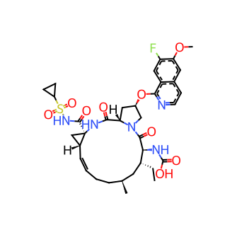 CC[C@@H]1C[C@@H](C)CC/C=C\[C@@H]2C[C@@]2(C(=O)NS(=O)(=O)C2CC2)NC(=O)[C@@H]2C[C@@H](Oc3nccc4cc(OC)c(F)cc34)CN2C(=O)[C@H]1NC(=O)O